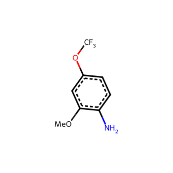 COc1cc(OC(F)(F)F)ccc1N